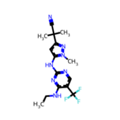 CCNc1nc(Nc2cc(C(C)(C)C#N)nn2C)ncc1C(F)(F)F